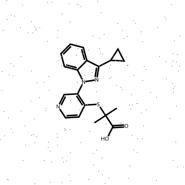 CC(C)(Sc1ccncc1-n1nc(C2CC2)c2ccccc21)C(=O)O